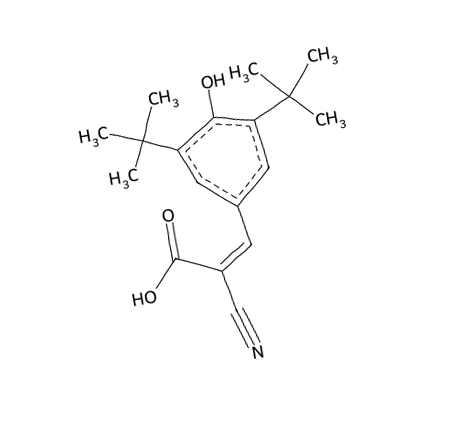 CC(C)(C)c1cc(C=C(C#N)C(=O)O)cc(C(C)(C)C)c1O